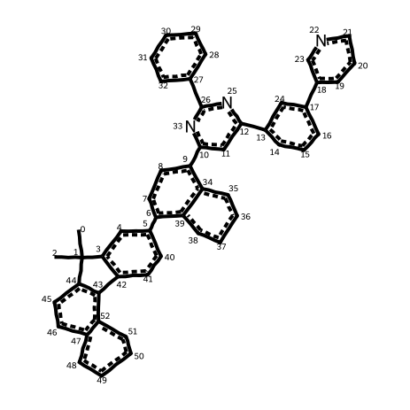 CC1(C)c2cc(-c3ccc(-c4cc(-c5cccc(-c6cccnc6)c5)nc(-c5ccccc5)n4)c4ccccc34)ccc2-c2c1ccc1ccccc21